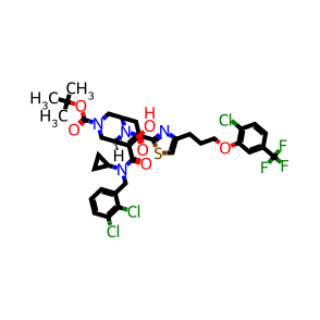 CC(C)(C)OC(=O)N1CC2CC(c3nc(CCCOc4cc(C(F)(F)F)ccc4Cl)cs3)=C(C(=O)N(Cc3cccc(Cl)c3Cl)C3CC3)[C@@H](C1)N2C(=O)O